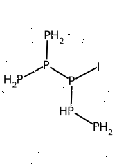 PPP(I)P(P)P